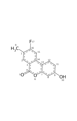 Cc1cc2c(=O)oc3cc(O)ccc3c2cc1F